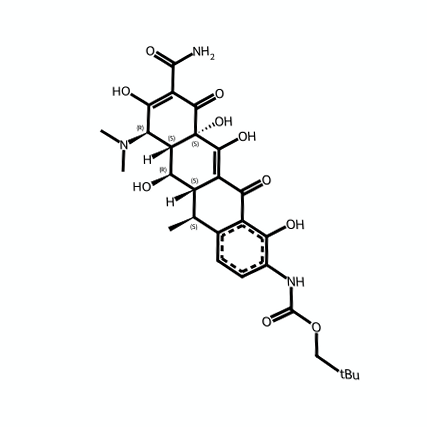 C[C@@H]1c2ccc(NC(=O)OCC(C)(C)C)c(O)c2C(=O)C2=C(O)[C@]3(O)C(=O)C(C(N)=O)=C(O)[C@H](N(C)C)[C@H]3[C@H](O)[C@H]21